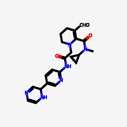 CN(C(=O)C1=C(C=O)CCCN1CC(=O)Nc1ccc(C2C=NC=CN2)cn1)C1CC1